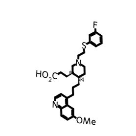 COc1ccc2nccc(CCC[C@@H]3CCN(CCSc4cccc(F)c4)C[C@@H]3CCC(=O)O)c2c1